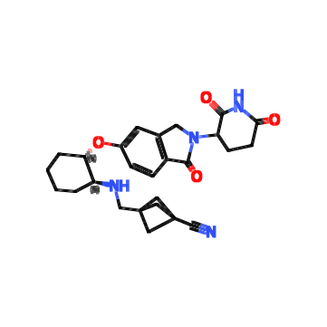 N#CC12CC(CN[C@H]3CCCC[C@@H]3Oc3ccc4c(c3)CN(C3CCC(=O)NC3=O)C4=O)(C1)C2